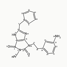 CCCn1c(=O)c2[nH]c(Cc3ccccc3)nc2n(CCc2cccc(N)c2)c1=O